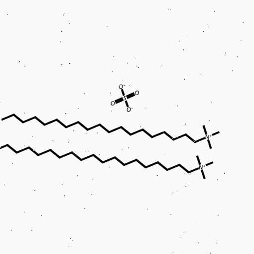 CCCCCCCCCCCCCCCCCCC[N+](C)(C)C.CCCCCCCCCCCCCCCCCCC[N+](C)(C)C.O=S(=O)([O-])[O-]